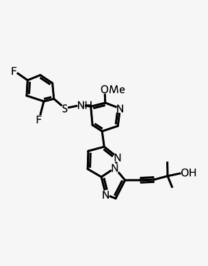 COc1ncc(-c2ccc3ncc(C#CC(C)(C)O)n3n2)cc1NSc1ccc(F)cc1F